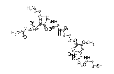 COc1cc(C(C)NC(=O)CCS)c([N+](=O)[O-])cc1OCCCC(=O)NCC(=O)NC(CCCCN)C(=O)NCC(=O)NCC(N)=O